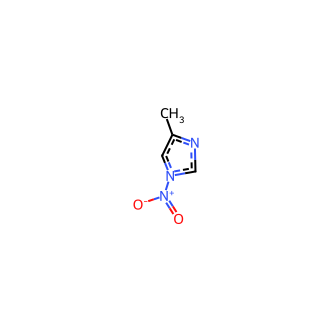 Cc1cn([N+](=O)[O-])cn1